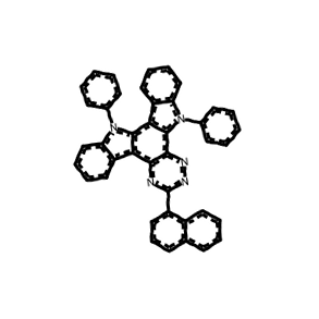 c1ccc(-n2c3ccccc3c3c2c2nnc(-c4cccc5ccccc45)nc2c2c4ccccc4n(-c4ccccc4)c23)cc1